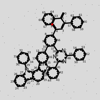 C=C(/C(=C\C(=C/C)c1ccc(-c2ccc3c(c2)oc2ccc4c5ccccc5n(-c5ccccc5)c4c23)c(-c2nc(-c3ccccc3)nc(-c3ccccc3)n2)c1)c1ccccc1)c1ccccc1